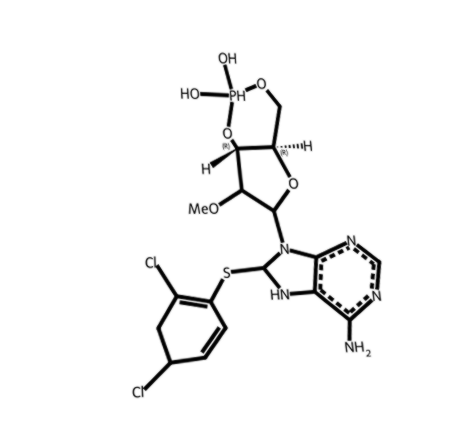 COC1C(N2c3ncnc(N)c3NC2SC2=C(Cl)CC(Cl)C=C2)O[C@@H]2CO[PH](O)(O)O[C@@H]12